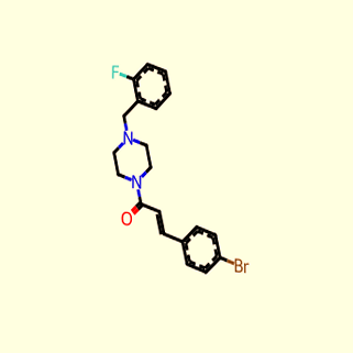 O=C(C=Cc1ccc(Br)cc1)N1CCN(Cc2ccccc2F)CC1